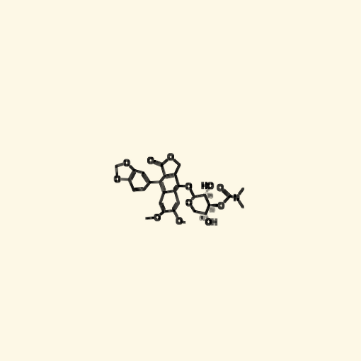 COc1cc2c(OC3OC[C@@H](O)[C@H](OC(=O)N(C)C)[C@H]3O)c3c(c(-c4ccc5c(c4)OCO5)c2cc1OC)C(=O)OC3